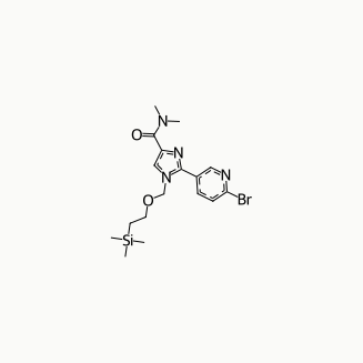 CN(C)C(=O)c1cn(COCC[Si](C)(C)C)c(-c2ccc(Br)nc2)n1